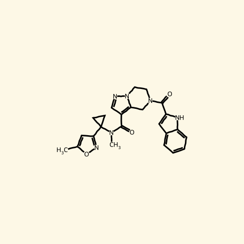 Cc1cc(C2(N(C)C(=O)c3cnn4c3CN(C(=O)c3cc5ccccc5[nH]3)CC4)CC2)no1